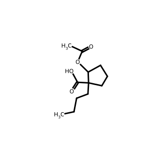 CCCCC1(C(=O)O)CCCC1OC(C)=O